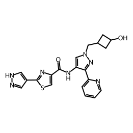 O=C(Nc1cn(CC2CC(O)C2)nc1-c1ccccn1)c1csc(-c2cn[nH]c2)n1